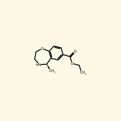 CCOC(=O)c1ccc2c(c1)[C@@H](C)NCCO2